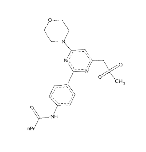 CCCC(=O)Nc1ccc(-c2nc(CS(C)(=O)=O)cc(N3CCOCC3)n2)cc1